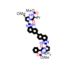 COC[C@H]1C[C@@H](c2nc3ccc4cc(-c5ccc6c(ccc7nc([C@@H]8CC[C@@H](C)N8C(=O)[C@H](NC(=O)OC)c8ccccc8)[nH]c76)c5)ccc4c3[nH]2)N(C(=O)[C@@H](NC(=O)OC)C(C)C)C1